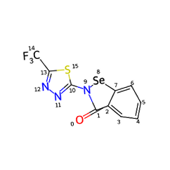 O=c1c2ccccc2[se]n1-c1nnc(C(F)(F)F)s1